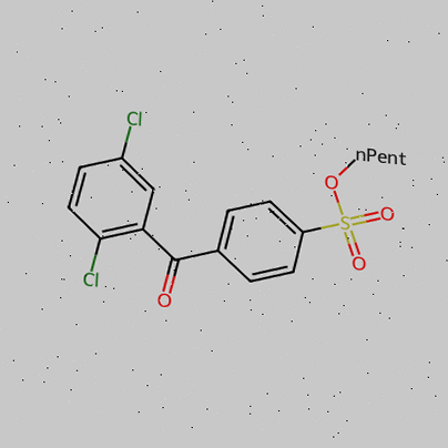 CCCCCOS(=O)(=O)c1ccc(C(=O)c2cc(Cl)ccc2Cl)cc1